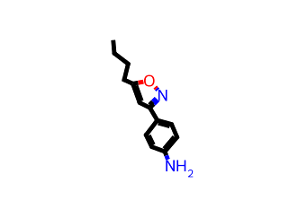 CCCCc1cc(-c2ccc(N)cc2)no1